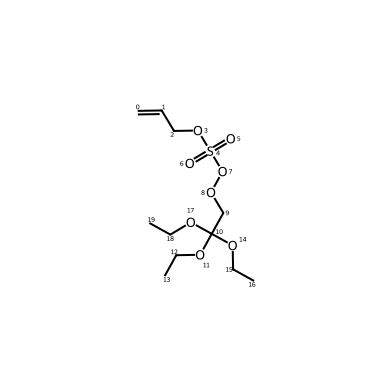 C=CCOS(=O)(=O)OOCC(OCC)(OCC)OCC